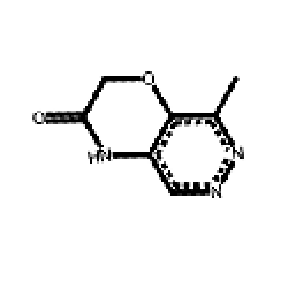 Cc1nncc2c1OCC(=O)N2